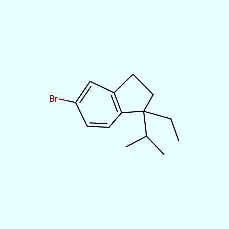 CCC1(C(C)C)CCc2cc(Br)ccc21